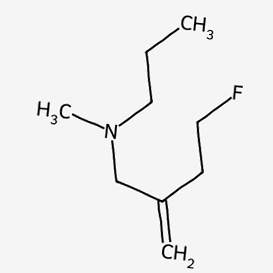 C=C(CCF)CN(C)CCC